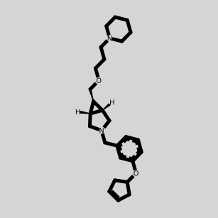 C1=CCC(Oc2cccc(CN3C[C@@H]4[C@@H](COCCCN5CCCCC5)[C@@H]4C3)c2)C1